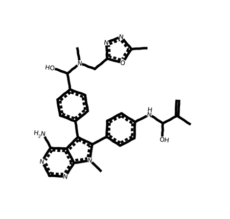 C=C(C)C(O)Nc1ccc(-c2c(-c3ccc(C(O)N(C)Cc4nnc(C)o4)cc3)c3c(N)ncnc3n2C)cc1